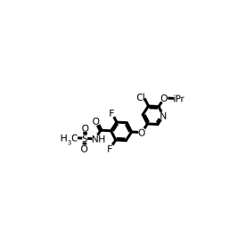 CC(C)Oc1ncc(Oc2cc(F)c(C(=O)NS(C)(=O)=O)c(F)c2)cc1Cl